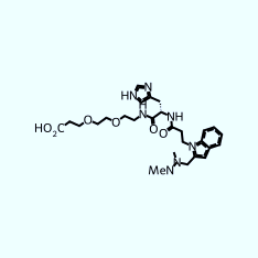 CNN(C)Cc1cc2ccccc2n1CCC(=O)N[C@@H](Cc1c[nH]cn1)C(=O)NCCOCCOCCC(=O)O